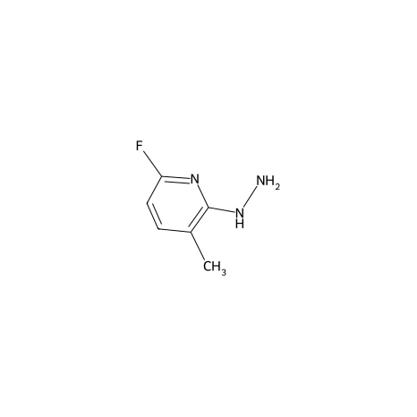 Cc1ccc(F)nc1NN